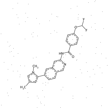 Cc1cc(-c2ccc3cnc(NC(=O)c4ccc(OC(F)F)cc4)cc3c2)n(C)c1